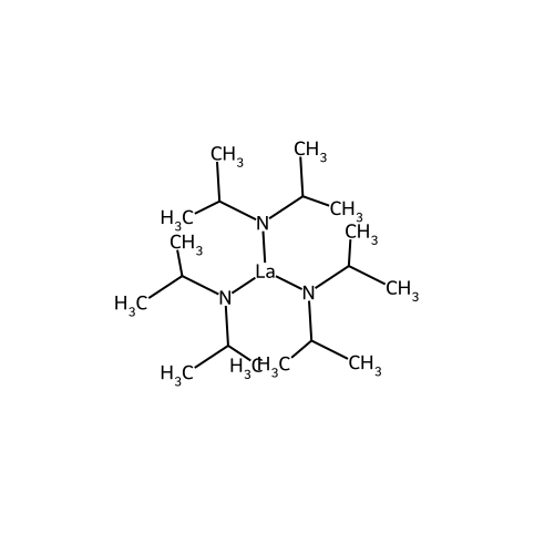 CC(C)[N](C(C)C)[La]([N](C(C)C)C(C)C)[N](C(C)C)C(C)C